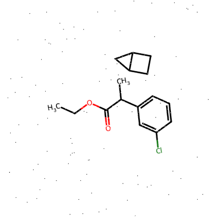 C1CC2CC12.CCOC(=O)C(C)c1cccc(Cl)c1